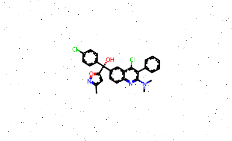 Cc1cc(C(O)(c2ccc(Cl)cc2)c2ccc3nc(N(C)C)c(-c4ccccc4)c(Cl)c3c2)on1